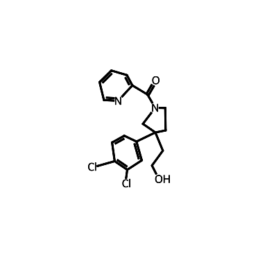 O=C(c1ccccn1)N1CCC(CCO)(c2ccc(Cl)c(Cl)c2)C1